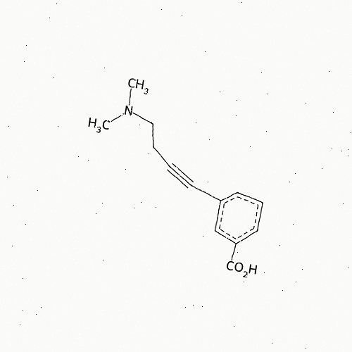 CN(C)CCC#Cc1cccc(C(=O)O)c1